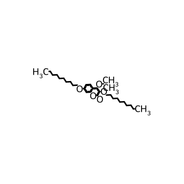 CCCCCCCCCCOc1ccc2c(OC(C)C)c(OCCCCCCCCCC)c(=O)oc2c1